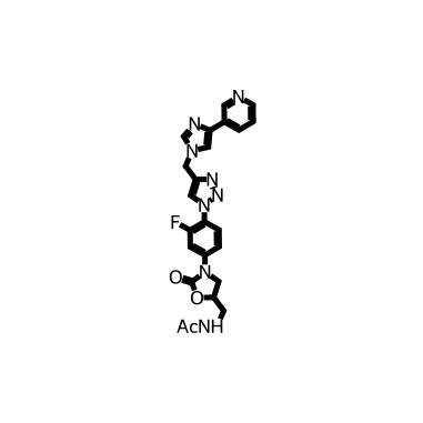 CC(=O)NCC1CN(c2ccc(-n3cc(Cn4cnc(-c5cccnc5)c4)nn3)c(F)c2)C(=O)O1